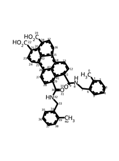 Cc1ccccc1CNC(=O)c1ccc2c3ccc(C(=O)O)c4c(C(=O)O)ccc(c5ccc(C(=O)NCc6ccccc6C)c1c25)c43